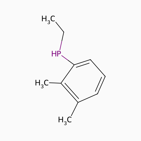 CCPc1cccc(C)c1C